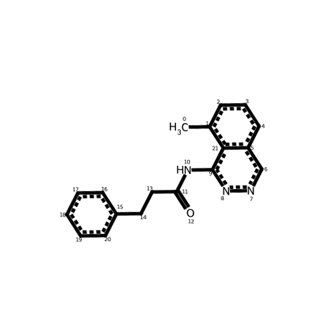 Cc1cccc2cnnc(NC(=O)CCc3ccccc3)c12